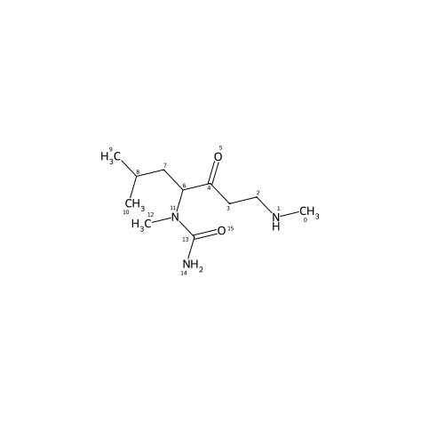 CNCCC(=O)C(CC(C)C)N(C)C(N)=O